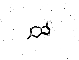 CN1CCn2c(N)cnc2C1